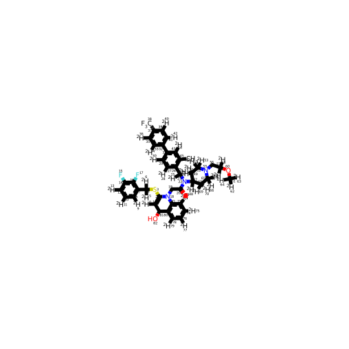 [2H]C1=C(SC([2H])([2H])c2c([2H])c([2H])c([2H])c(F)c2F)N(CC(=O)N(C([2H])([2H])c2c([2H])c([2H])c(-c3c([2H])c([2H])c(C(F)(F)F)c([2H])c3[2H])c([2H])c2C)C2([2H])C([2H])([2H])C([2H])([2H])N(CC([2H])([2H])OC([2H])([2H])[2H])C([2H])([2H])C2([2H])[2H])c2c([2H])c([2H])c([2H])c([2H])c2C1O